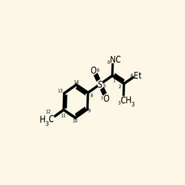 [C-]#[N+]C(=C(C)CC)S(=O)(=O)c1ccc(C)cc1